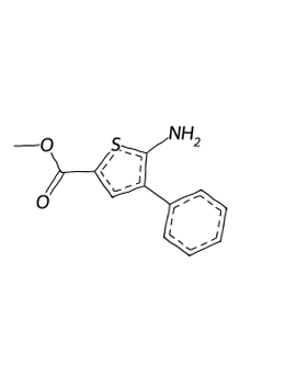 COC(=O)c1cc(-c2ccccc2)c(N)s1